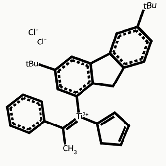 C/[C](c1ccccc1)=[Ti+2](\[C]1=CC=CC1)[c]1cc(C(C)(C)C)cc2c1Cc1ccc(C(C)(C)C)cc1-2.[Cl-].[Cl-]